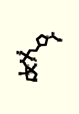 CC(C)(C)N[C@H]1CCN(CCC(C)(C)N[C@H]2[C@@H]3CNC[C@@H]32)C1